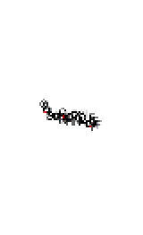 COc1ccc(Oc2ccc(S(=O)(=O)N3CCc4c(ccc(Cl)c4NC(=O)Cc4ccc(C(F)(F)F)c(F)c4)C3)cc2)cc1